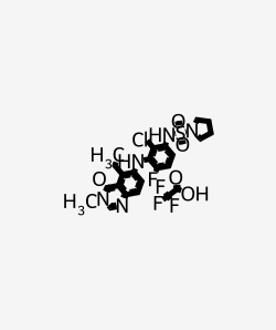 CCc1c(Nc2c(F)ccc(NS(=O)(=O)N3CCCC3)c2Cl)ccc2ncn(C)c(=O)c12.O=C(O)C(F)(F)F